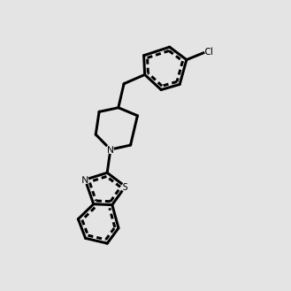 Clc1ccc(CC2CCN(c3nc4ccccc4s3)CC2)cc1